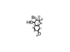 COc1ccc2c(c1)CC(C)(C)C(Br)C2O